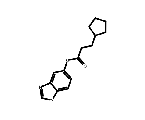 O=C(CCC1CCCC1)Oc1ccc2[nH]cnc2c1